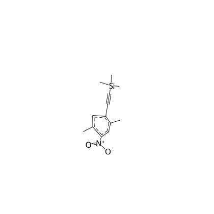 Cc1cc([N+](=O)[O-])c(C)cc1C#C[Si](C)(C)C